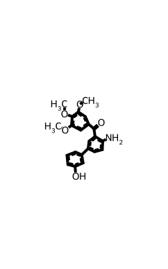 COc1cc(C(=O)c2cc(-c3cccc(O)c3)ccc2N)cc(OC)c1OC